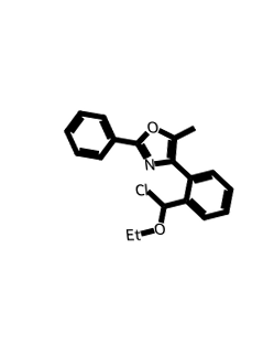 CCOC(Cl)c1ccccc1-c1nc(-c2ccccc2)oc1C